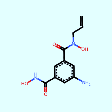 C=CCN(O)C(=O)c1cc(N)cc(C(=O)NO)c1